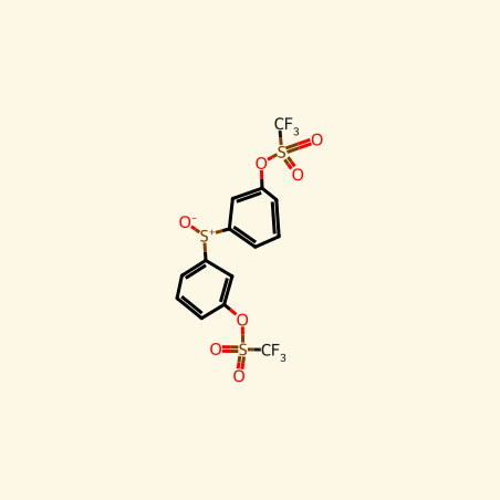 O=S(=O)(Oc1cccc([S+]([O-])c2cccc(OS(=O)(=O)C(F)(F)F)c2)c1)C(F)(F)F